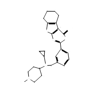 CC(=O)N1CCC(N(Cc2cccc(-c3nc4sc5c(c4c(=O)o3)CCCC5)c2)C2CC2)CC1